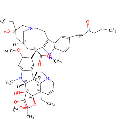 CCCC(=O)/C=C/c1ccc2[nH]c3c(c2c1)CCN1C[C@H](C[C@@](O)(CC)C1)C[C@]3(C(=O)OC)C1C=C2C(=CC1OC)N(C)[C@H]1[C@@](O)(C(=O)OC)[C@H](OC(C)=O)[C@]3(CC)C=CCN4CC[C@]21[C@@H]43